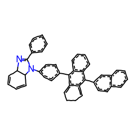 C1=CC2N=C(c3ccccc3)N(c3ccc(-c4c5c(c(-c6ccc7ccccc7c6)c6ccccc46)=CCCC=5)cc3)C2C=C1